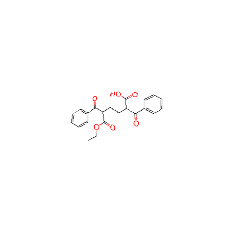 CCOC(=O)C(CCC(C(=O)O)C(=O)c1ccccc1)C(=O)c1ccccc1